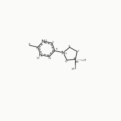 Cc1ncc(N2CC[C@@](C)(I)C2)cn1